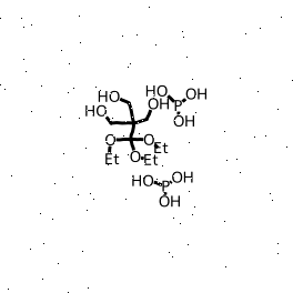 CCOC(OCC)(OCC)C(CO)(CO)CO.OP(O)O.OP(O)O